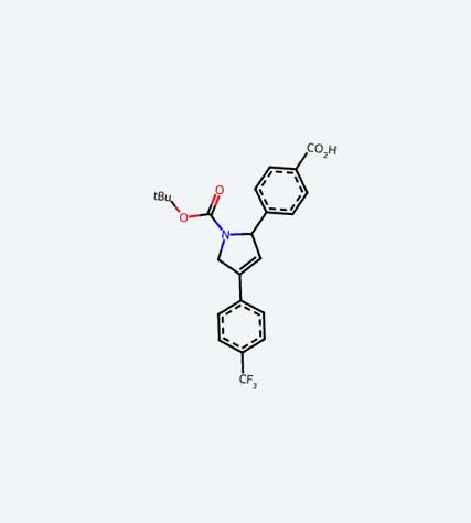 CC(C)(C)OC(=O)N1CC(c2ccc(C(F)(F)F)cc2)=CC1c1ccc(C(=O)O)cc1